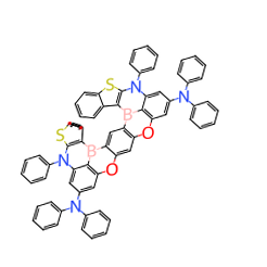 c1ccc(N(c2ccccc2)c2cc3c4c(c2)N(c2ccccc2)c2sc5ccccc5c2B4c2cc4c(cc2O3)Oc2cc(N(c3ccccc3)c3ccccc3)cc3c2B4c2c(sc4ccccc24)N3c2ccccc2)cc1